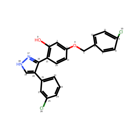 Oc1cc(OCc2ccc(Cl)cc2)ccc1-c1n[nH]cc1-c1cccc(Cl)c1